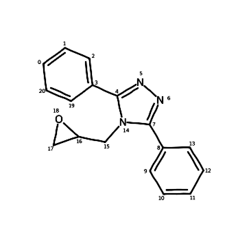 c1ccc(-c2nnc(-c3ccccc3)n2CC2CO2)cc1